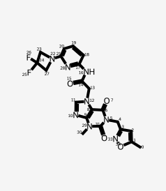 Cc1cc(Cn2c(=O)c3c(ncn3CC(=O)Nc3cccc(N4CC(F)(F)C4)n3)n(C)c2=O)no1